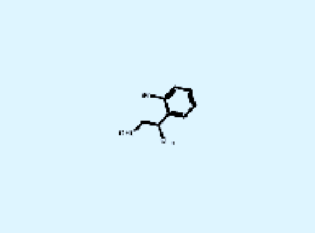 CC(C)c1ccccc1C(C)CC=O